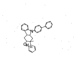 CC12CC3C(CC1OC1C=CC=C[C@@H]12)c1ccccc1N3c1ccc(-c2ccccc2)cc1